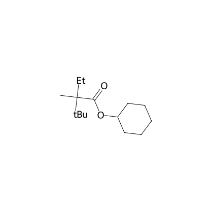 CCC(C)(C(=O)OC1CCCCC1)C(C)(C)C